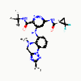 [2H]C([2H])([2H])NC(=O)c1nnc(NC(=O)[C@H]2CC2(F)F)cc1Nc1cccc2c1N(C)Cc1nc(C)nn1-2